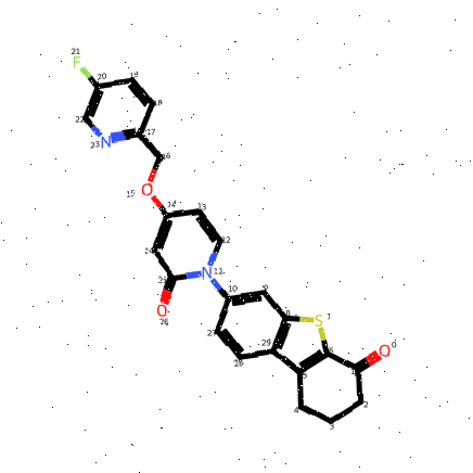 O=C1CCCc2c1sc1cc(-n3ccc(OCc4ccc(F)cn4)cc3=O)ccc21